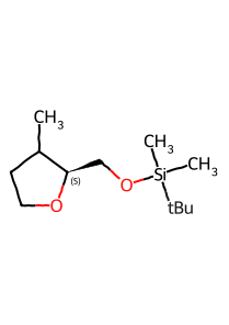 CC1CCO[C@@H]1CO[Si](C)(C)C(C)(C)C